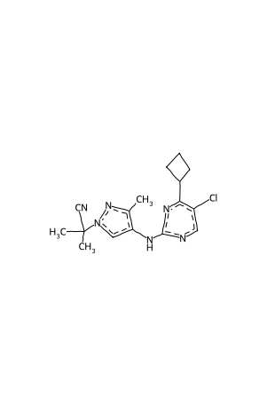 Cc1nn(C(C)(C)C#N)cc1Nc1ncc(Cl)c(C2CCC2)n1